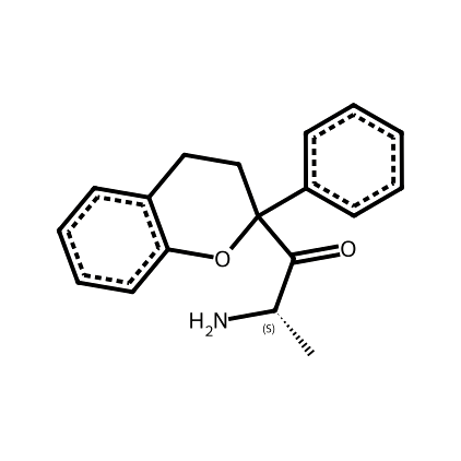 C[C@H](N)C(=O)C1(c2ccccc2)CCc2ccccc2O1